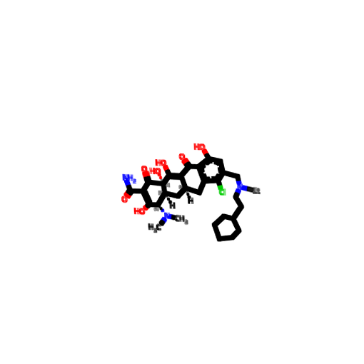 CCN(CCC1CCCCC1)Cc1cc(O)c2c(c1Cl)C[C@H]1C[C@H]3[C@H](N(C)C)C(O)=C(C(N)=O)C(=O)[C@@]3(O)C(O)=C1C2=O